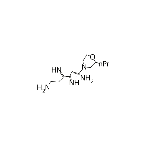 CCCC1CN(/C(N)=C/C(=N)C(=N)CCN)CCO1